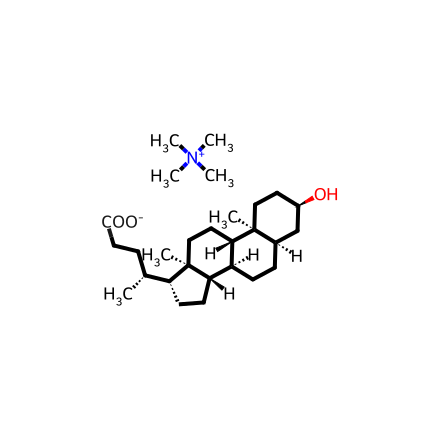 C[C@H](CCC(=O)[O-])[C@H]1CC[C@H]2[C@@H]3CC[C@@H]4C[C@H](O)CC[C@]4(C)[C@H]3CC[C@]12C.C[N+](C)(C)C